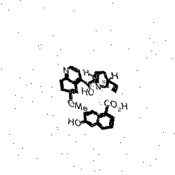 C=C[C@@H]1CN2CCC1C[C@H]2[C@@H](O)c1ccnc2ccc(OC)cc12.O=C(O)c1cccc2cc(O)ccc12